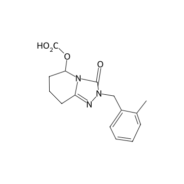 Cc1ccccc1Cn1nc2n(c1=O)C(OC(=O)O)CCC2